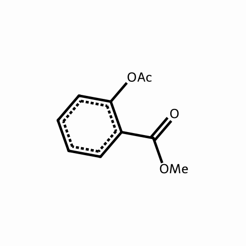 COC(=O)c1ccccc1OC(C)=O